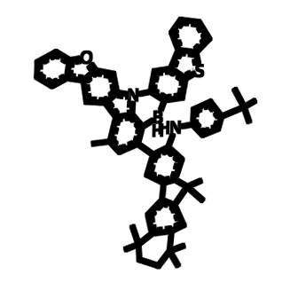 Cc1cc(-c2cc3c(cc2Nc2ccc(C(C)(C)C)cc2)C(C)(C)c2cc4c(cc2-3)C(C)(C)CCC4(C)C)c2c3c1c1cc4c(cc1n3-c1cc3c(cc1B2)sc1ccccc13)oc1ccccc14